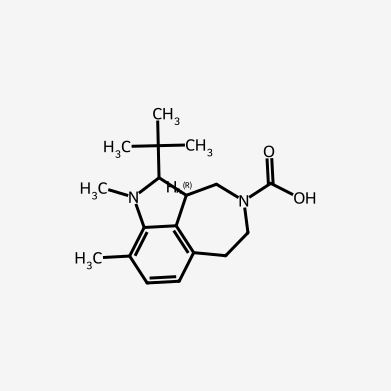 Cc1ccc2c3c1N(C)C(C(C)(C)C)[C@H]3CN(C(=O)O)CC2